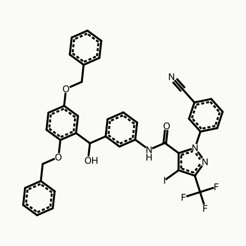 N#Cc1cccc(-n2nc(C(F)(F)F)c(I)c2C(=O)Nc2cccc(C(O)c3cc(OCc4ccccc4)ccc3OCc3ccccc3)c2)c1